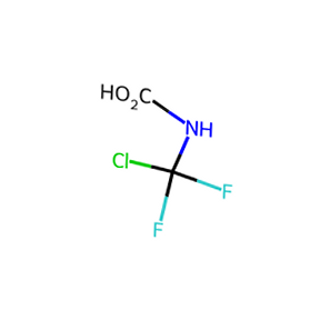 O=C(O)NC(F)(F)Cl